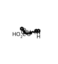 O=C(N[C@@H](CCOC1CC(CCc2ccc3c(n2)NCCC3)C1)C(=O)O)OC1CCCCC1